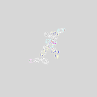 O=C(NS(=O)(=O)c1ccc(NCC2COCCO2)c([N+](=O)[O-])c1)c1ccc(N2CCN(CC3=C(c4ccc(Cl)cc4)CC4(CCC4)CC3)CC2)nc1Oc1cnc2[nH]ccc2c1